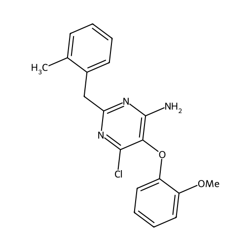 COc1ccccc1Oc1c(N)nc(Cc2ccccc2C)nc1Cl